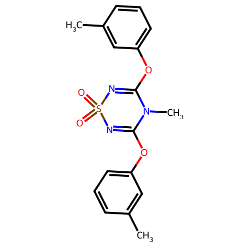 Cc1cccc(OC2=NS(=O)(=O)N=C(Oc3cccc(C)c3)N2C)c1